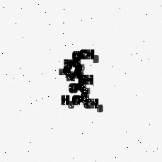 COc1cc(NC(=O)CC(C)C)ncn1